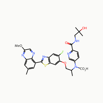 COc1cnc2c(-c3nc4cc(F)c(OCC(C)N(C(=O)O)c5ccc(C(=O)NCC(C)(C)O)nc5)cc4s3)cc(C)cc2n1